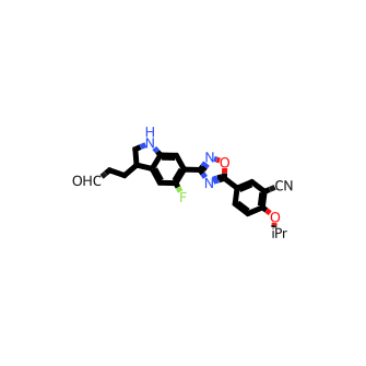 CC(C)Oc1ccc(-c2nc(-c3cc4c(cc3F)C(CCC=O)CN4)no2)cc1C#N